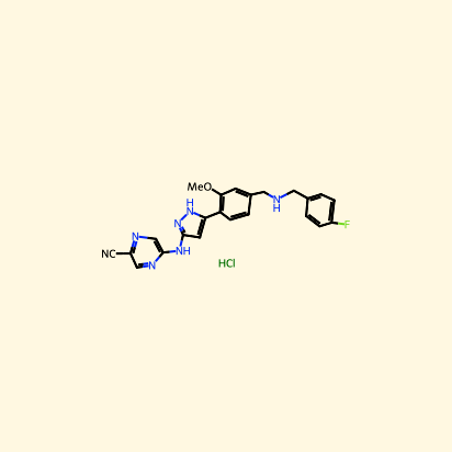 COc1cc(CNCc2ccc(F)cc2)ccc1-c1cc(Nc2cnc(C#N)cn2)n[nH]1.Cl